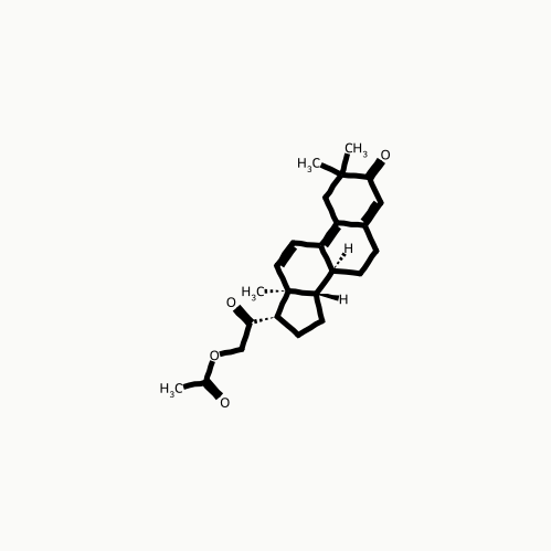 CC(=O)OCC(=O)[C@H]1CC[C@H]2[C@@H]3CCC4=CC(=O)C(C)(C)CC4=C3C=C[C@]12C